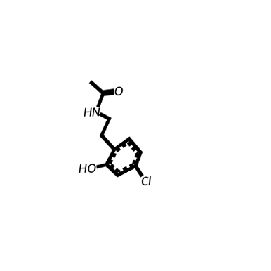 CC(=O)NCCc1ccc(Cl)cc1O